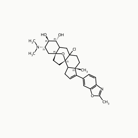 Cc1nc2ccc(C3=CCC4[C@@]56CC[C@]7(C[C@H](N(C)C)[C@@H](O)[C@H](O)C7CC5(Cl)CC[C@]34C)O6)cc2o1